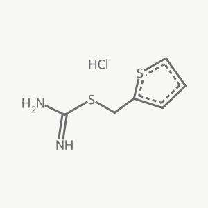 Cl.N=C(N)SCc1cccs1